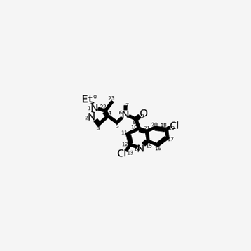 CCn1ncc(CN(C)C(=O)c2cc(Cl)nc3ccc(Cl)cc23)c1C